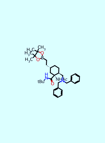 CC(=O)N[C@]1(C(=O)NC(C)(C)C)C[C@H](CCB2OC(C)(C)C(C)(C)O2)CC[C@H]1CN(Cc1ccccc1)Cc1ccccc1